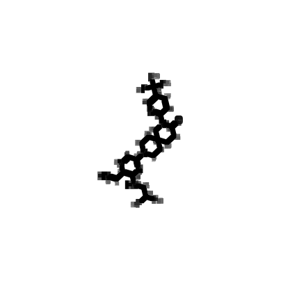 N=Cc1ncc(N2CCC3(CCC(=O)N(c4ccc(C(F)(F)F)cn4)C3)CC2)nc1NCC(F)F